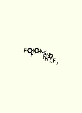 Fc1ccc(N2CCN(CCSc3nnc4c(C(F)(F)F)cccn34)CC2)c(F)c1